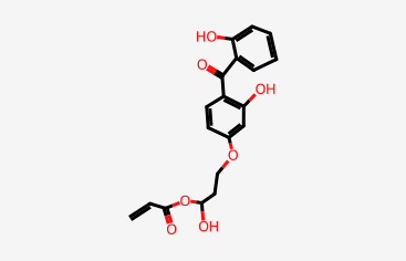 C=CC(=O)OC(O)CCOc1ccc(C(=O)c2ccccc2O)c(O)c1